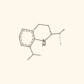 CC(C)c1cccc2c1NC(C(C)C)CC2